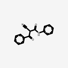 N#CC(C(=O)Nc1ccccc1)C(=O)c1ccccc1